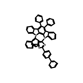 c1ccc(-c2ccc(-c3nc(-c4ccccc4)nc(-n4c5ccccc5c5c(-c6ccccc6)c(-c6ccccc6)c6c7ccccc7n(-c7ccccc7)c6c54)n3)cc2)cc1